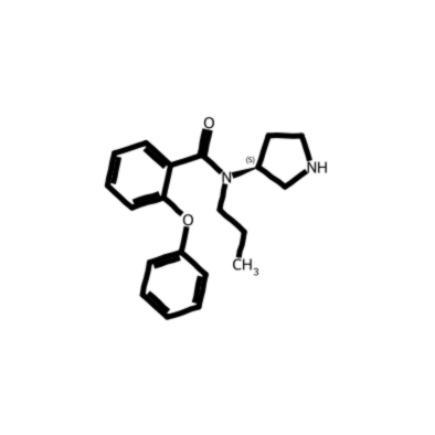 CCCN(C(=O)c1ccccc1Oc1ccccc1)[C@H]1CCNC1